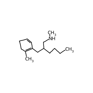 CCCCC(CNC)CC1=C(C)CCC=C1